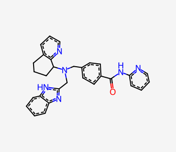 O=C(Nc1ccccn1)c1ccc(CN(Cc2nc3ccccc3[nH]2)C2CCCc3cccnc32)cc1